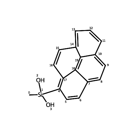 C[Si](O)(O)c1ccc2ccc3cccc4ccc1c2c34